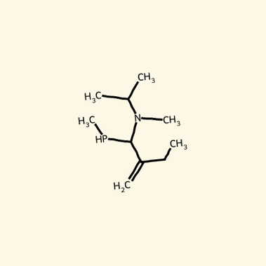 C=C(CC)C(PC)N(C)C(C)C